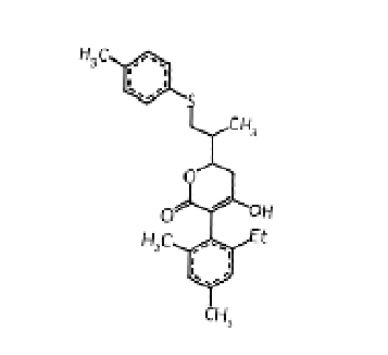 CCc1cc(C)cc(C)c1C1=C(O)CC(C(C)CSc2ccc(C)cc2)OC1=O